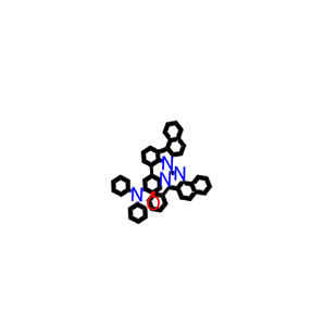 c1ccc(-c2nc(-n3c4ccc5ccccc5c4c4cccc(-c5ccc6c(c5)N(c5ccccc5)c5ccccc5O6)c43)nc3c2ccc2ccccc23)cc1